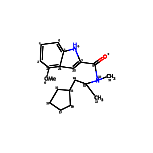 COc1cccc2[nH]c(C(=O)N(C)C(C)CC3CCCC3)cc12